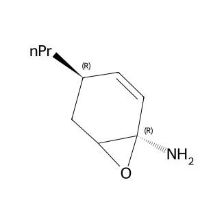 CCC[C@H]1C=C[C@@]2(N)OC2C1